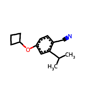 CC(C)c1cc(OC2CCC2)ccc1C#N